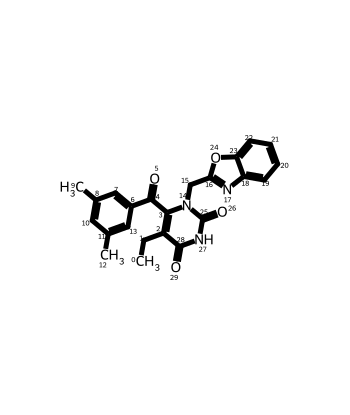 CCc1c(C(=O)c2cc(C)cc(C)c2)n(Cc2nc3ccccc3o2)c(=O)[nH]c1=O